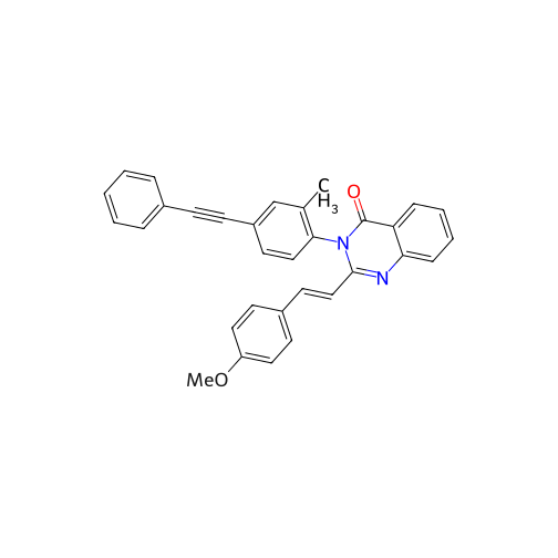 COc1ccc(/C=C/c2nc3ccccc3c(=O)n2-c2ccc(C#Cc3ccccc3)cc2C)cc1